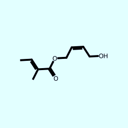 CC=C(C)C(=O)OC/C=C\CO